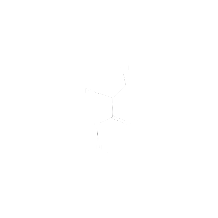 BOC(=O)C(Br)CC